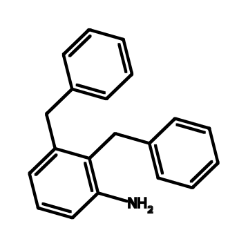 Nc1cccc(Cc2ccccc2)c1Cc1ccccc1